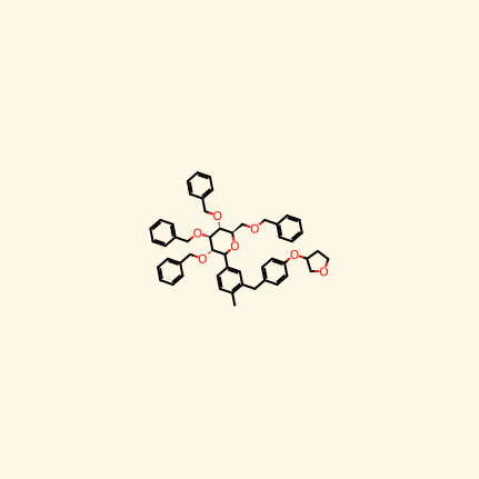 Cc1ccc(C2O[C@H](COCc3ccccc3)[C@@H](OCc3ccccc3)[C@H](OCc3ccccc3)[C@H]2OCc2ccccc2)cc1Cc1ccc(OC2CCOC2)cc1